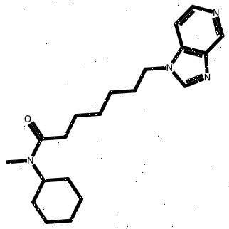 CN(C(=O)CCCCCCn1cnc2cnccc21)C1CCCCC1